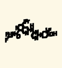 CC(C)c1cnc(C(=O)NCC(F)F)c2cnc(Nc3ccnc(N4CC[C@@H](O)[C@@](C)(F)C4)n3)cc12